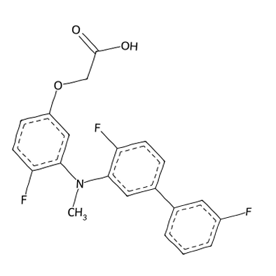 CN(c1cc(OCC(=O)O)ccc1F)c1cc(-c2cccc(F)c2)ccc1F